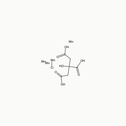 O=C(O)CC(O)(CC(=O)O)C(=O)O.[Cl][Mn].[Mn].[Mn].[Mn]